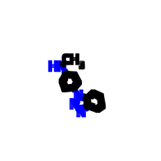 CNc1ccc(-n2nnc3ccccc32)cc1